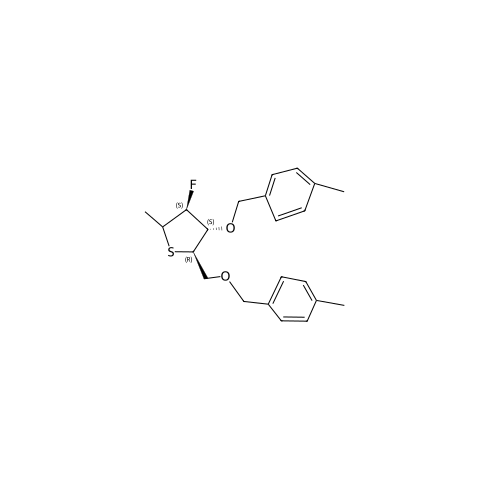 Cc1ccc(COC[C@H]2SC(C)[C@@H](F)[C@@H]2OCc2ccc(C)cc2)cc1